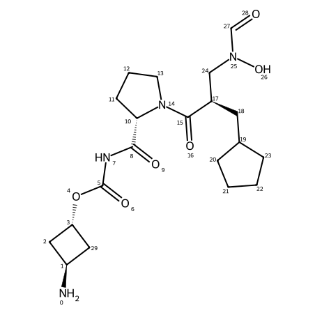 N[C@H]1C[C@H](OC(=O)NC(=O)[C@@H]2CCCN2C(=O)[C@H](CC2CCCC2)CN(O)C=O)C1